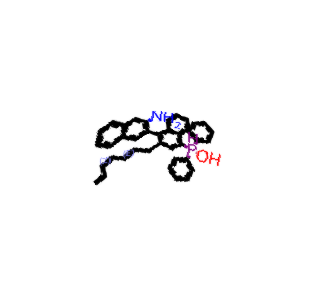 C=C/C=C\C=C\Cc1cc([PH](O)(c2ccccc2)c2ccccc2)c2ccccc2c1-c1cc2ccccc2cc1N